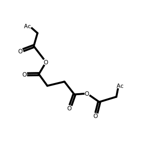 CC(=O)CC(=O)OC(=O)CCC(=O)OC(=O)CC(C)=O